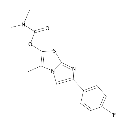 Cc1c(OC(=O)N(C)C)sc2nc(-c3ccc(F)cc3)cn12